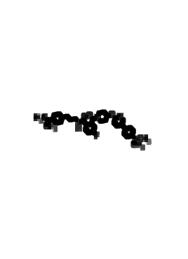 CN(C)c1ccc(CCCNC(=O)c2ccc(F)cc2C(=O)N2CCC(Oc3ccc(-c4ccc(N(C)C)cc4)cn3)CC2)cc1